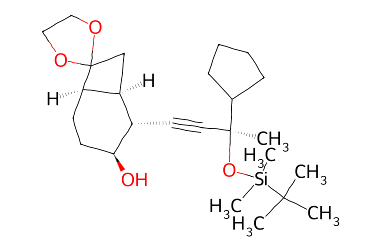 CC(C)(C)[Si](C)(C)O[C@@](C)(C#C[C@H]1[C@@H]2CC3(OCCO3)[C@@H]2CC[C@@H]1O)C1CCCC1